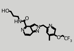 Cc1cc(Cn2cc3c(C(=O)NCCCO)nccc3n2)ncc1OCC(F)(F)F